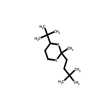 CC(C)(C)CCC1(C)SCCC(C(C)(C)C)S1